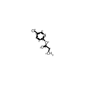 CCC(=O)Oc1ccc(Cl)cn1